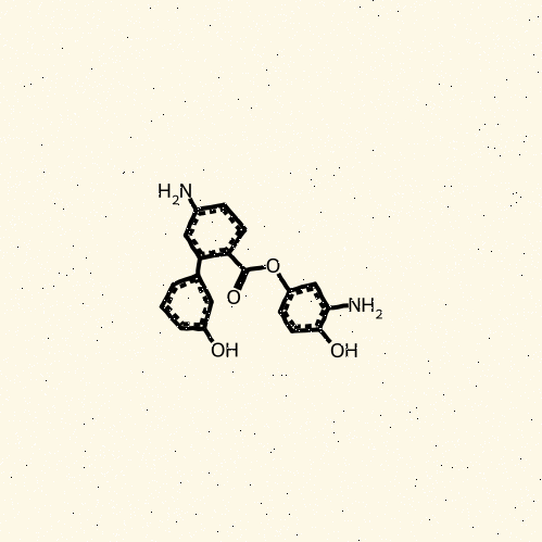 Nc1ccc(C(=O)Oc2ccc(O)c(N)c2)c(-c2cccc(O)c2)c1